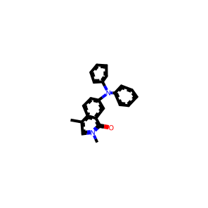 Cc1cn(C)c(=O)c2cc(N(c3ccccc3)c3ccccc3)ccc12